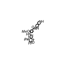 COc1cc(C(=O)NN2CCC3(CCNCC3)CC2)ccc1Nc1ncc2c(n1)N(C(C)C)CC(F)(F)C(=O)N2C